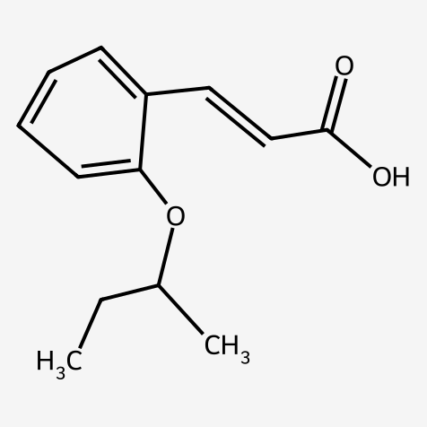 CCC(C)Oc1ccccc1/C=C/C(=O)O